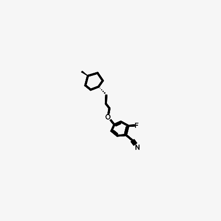 C[C@H]1CC[C@H](CCCOc2ccc(C#N)c(F)c2)CC1